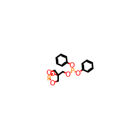 c1ccc(OP(OCC23COP(OC2)O3)Oc2ccccc2)cc1